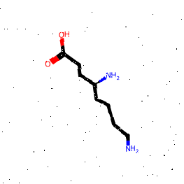 NCCCC[C@H](N)CCC(=O)O